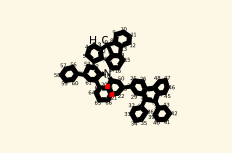 CC1(c2ccccc2)c2ccccc2-c2ccc(N(c3cccc(-c4ccc5c(c4)c(-c4ccccc4)c(-c4ccccc4)c4ccccc45)c3)c3ccc(-c4ccccc4)cc3-c3ccccc3)cc21